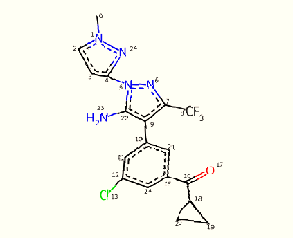 Cn1ccc(-n2nc(C(F)(F)F)c(-c3cc(Cl)cc(C(=O)C4CC4)c3)c2N)n1